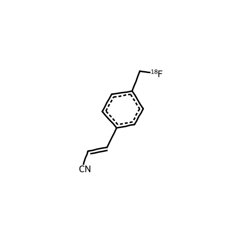 N#CC=Cc1ccc(C[18F])cc1